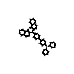 c1ccc(P(c2ccccc2)c2ccc(-c3ccc(-c4c5ccc6ccccc6c5nc5c4ccc4ccccc45)cc3)cc2)cc1